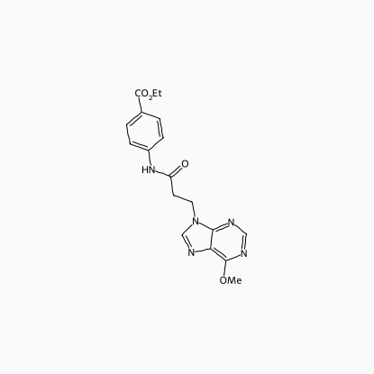 CCOC(=O)c1ccc(NC(=O)CCn2cnc3c(OC)ncnc32)cc1